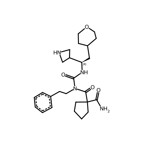 NC(=O)C1(C(=O)N(CCc2ccccc2)C(=O)N[C@H](CC2CCOCC2)C2CNC2)CCCC1